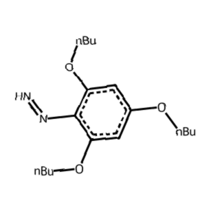 CCCCOc1cc(OCCCC)c(N=N)c(OCCCC)c1